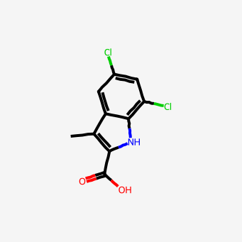 Cc1c(C(=O)O)[nH]c2c(Cl)cc(Cl)cc12